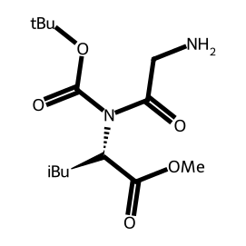 CC[C@H](C)[C@@H](C(=O)OC)N(C(=O)CN)C(=O)OC(C)(C)C